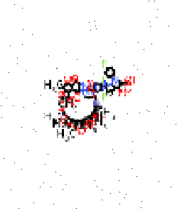 CO[C@H]1/C=C/O[C@@]2(C)Oc3c(C)c(O)c4c(c3C2=O)C(=O)C(N2CCCC3(CCN(c5nc6c(cc5F)c(=O)c(C(=O)O)cn6-c5ccc(F)cc5F)C3)C2)=C(NC(=O)/C(C)=C\C=C\[C@H](C)[C@H](O)[C@@H](C)[C@@H](O)[C@@H](C)[C@H](OC(C)=O)[C@@H]1C)C4=O